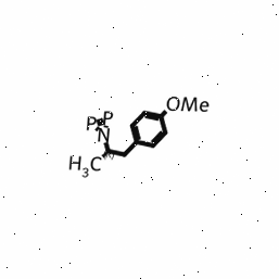 COc1ccc(C[C@@H](C)N2P=P2)cc1